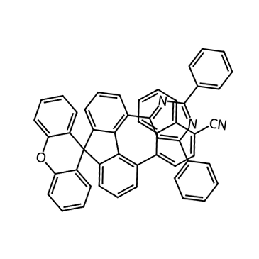 N#Cc1ccc(-c2cccc3c2-c2c(-c4cc(-c5ccccc5)nc(-c5ccccc5)n4)cccc2C32c3ccccc3Oc3ccccc32)c2ccccc12